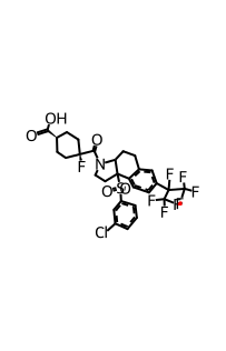 O=C(O)[C@H]1CC[C@](F)(C(=O)N2CCC3(S(=O)(=O)c4cccc(Cl)c4)c4ccc(C(F)(C(F)(F)F)C(F)(F)F)cc4CCC23)CC1